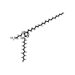 CCCCCCCCCCCCCCCCCCCCCC(=O)N[C@@H](CCCCN)C(=O)NCCCCCCCCCCCC